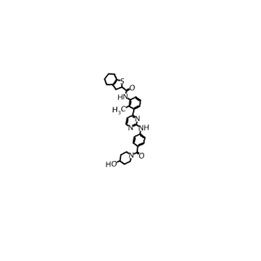 Cc1c(NC(=O)C2CC3=C(CCCC3)S2)cccc1-c1ccnc(Nc2ccc(C(=O)N3CCC(O)CC3)cc2)n1